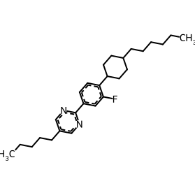 CCCCCCC1CCC(c2ccc(-c3ncc(CCCCC)cn3)cc2F)CC1